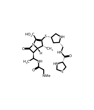 CNCC(=O)NC(C)[C@H]1C(=O)N2C(C(=O)O)=C(S[C@@H]3CN[C@H](CNC(=O)[C@@H]4CSCN4)C3)[C@H](C)[C@H]12